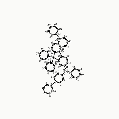 c1ccc(-c2ccc(N(c3ccccc3)c3ccc4c(c3)C(c3ccccc3)(c3ccccc3)c3ccc5c(-c6ccccc6)cccc5c3-4)cc2)cc1